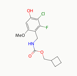 COc1cc(O)c(Cl)c(F)c1CNC(=O)OCC1CCC1